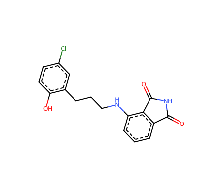 O=C1NC(=O)c2c(NCCCc3cc(Cl)ccc3O)cccc21